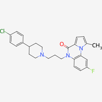 Cc1ccc2c(=O)n(CCCN3CCC(c4ccc(Cl)cc4)CC3)c3ccc(F)cc3n12